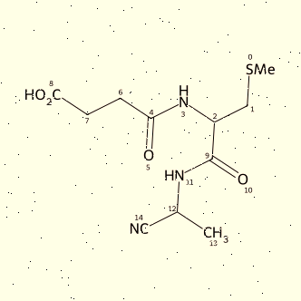 CSCC(NC(=O)CCC(=O)O)C(=O)NC(C)C#N